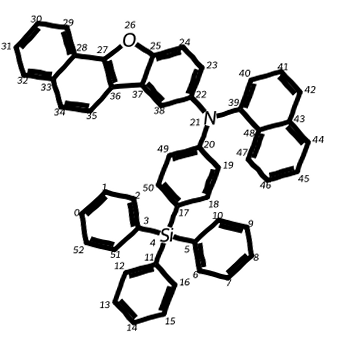 c1ccc([Si](c2ccccc2)(c2ccccc2)c2ccc(N(c3ccc4oc5c6ccccc6ccc5c4c3)c3cccc4ccccc34)cc2)cc1